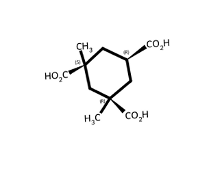 C[C@]1(C(=O)O)C[C@@H](C(=O)O)C[C@@](C)(C(=O)O)C1